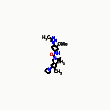 COc1cc(NC(=O)N(Cc2cc(N3CCCC3)c(C)cc2C)C2CC2)ccc1-n1cc(C)nn1